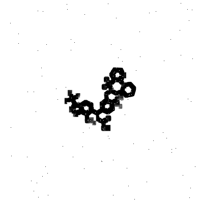 Cc1ccc([C@@H](CC(=O)O)c2ccn3c(C(F)(F)F)nnc3c2C)cc1CN1C[C@H]2CCCCN2c2ncccc2S1(=O)=O